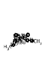 Cc1ccc(-c2ccc(CC(C[C@H](O)[C@H](Cc3ccccc3)NC(=O)[C@@H](N3CCN(Cc4cccc(C)n4)C3=O)C(C)(C)C)N(Cc3ccccc3)C(=O)O)cc2)nc1